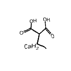 CCC(C(=O)O)C(=O)O.[CaH2]